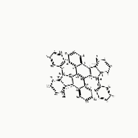 c1ccc(-n2c3cccnc3c3c4ccccc4c4c(c5ccccc5c5c6ncccc6n(-c6ccccc6)c54)c32)cc1